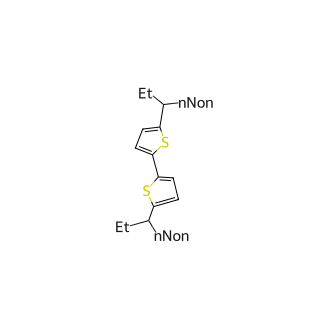 CCCCCCCCCC(CC)c1ccc(-c2ccc(C(CC)CCCCCCCCC)s2)s1